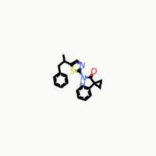 CC(Cc1ccccc1)c1cnc(NC(=O)C2(c3ccccc3)CC2)s1